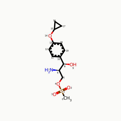 CS(=O)(=O)OC[C@@H](N)[C@H](O)c1ccc(OC2CC2)cc1